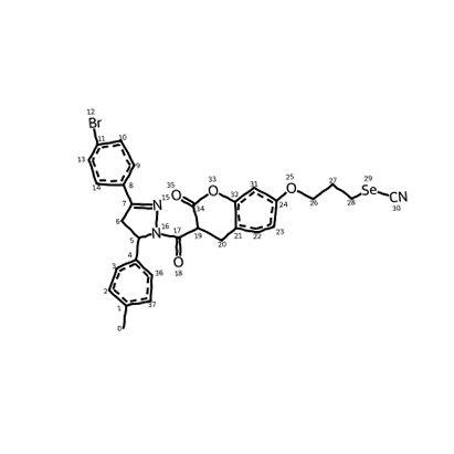 Cc1ccc(C2CC(c3ccc(Br)cc3)=NN2C(=O)C2Cc3ccc(OCCC[Se]C#N)cc3OC2=O)cc1